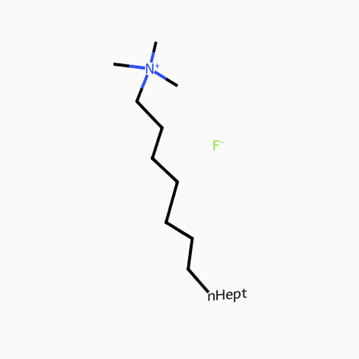 CCCCCCCCCCCCCC[N+](C)(C)C.[F-]